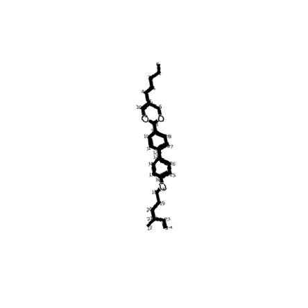 CCCCCC1COC(c2ccc(-c3ccc(OCCCC(C)CC)cc3)cc2)OC1